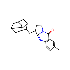 Cc1ccc2nc3n(c(=O)c2c1)CCC3CC1C2CC3CC(C2)CC1C3